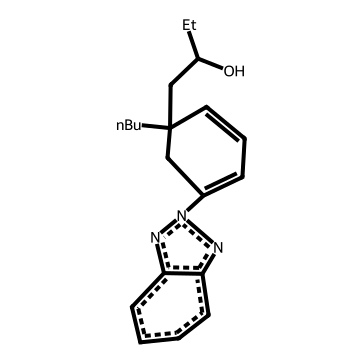 CCCCC1(CC(O)CC)C=CC=C(n2nc3ccccc3n2)C1